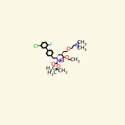 CCOC(=O)[C@H](CCOCCN(C)C)C[C@@H](Cc1ccc(-c2cc(Cl)ccc2F)cc1)NC(=O)OC(C)(C)C